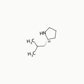 C[C](C)C[C@H]1CCCN1